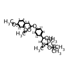 COc1ccc(CC(=O)Oc2ccc(C(O)CN(C)C(=O)OC(C)(C)C)cc2)c(OC)c1